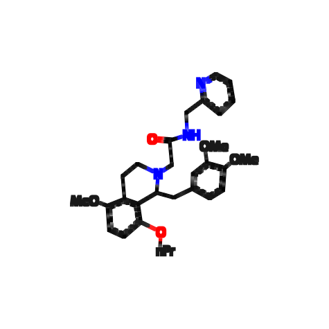 CCCOc1ccc(OC)c2c1C(Cc1ccc(OC)c(OC)c1)N(CC(=O)NCc1ccccn1)CC2